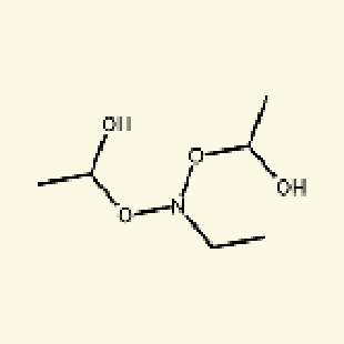 CCN(OC(C)O)OC(C)O